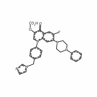 O=C(O)Oc1cn(-c2ccc(Cn3ccnc3)cc2)c2cc(N3CCN(c4ccccc4)CC3)c(F)cc2c1=O